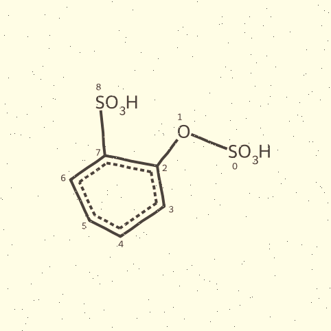 O=S(=O)(O)Oc1ccccc1S(=O)(=O)O